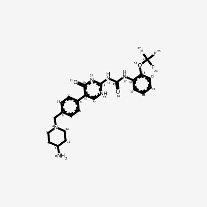 NC1CCN(Cc2ccc(-c3c[nH]c(NC(=O)Nc4ccccc4OC(F)(F)F)nc3=O)cc2)CC1